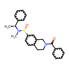 C[C@@H](c1ccccc1)N(C)[S+]([O-])c1ccc2c(c1)CN(C(=O)c1ccccc1)CC2